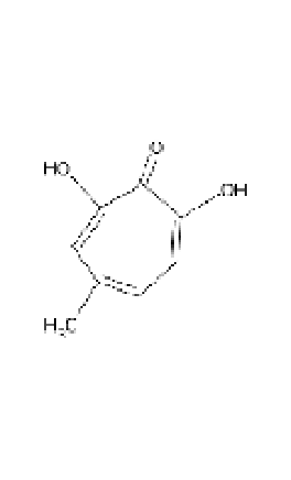 Cc1ccc(O)c(=O)c(O)c1